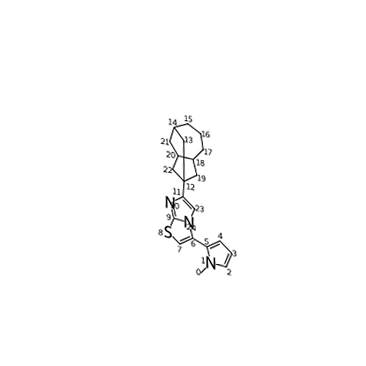 Cn1cccc1-c1csc2nc(C34CC5CCCC(C3)C(C5)C4)cn12